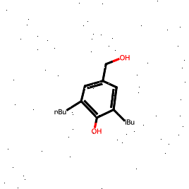 CCCCc1cc(CO)cc(C(C)CC)c1O